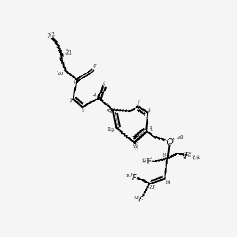 C=C(/C=C\C(=C)c1ccc(OC(F)(F)C=C(F)F)cc1)CCC